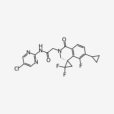 O=C(CN1C[C@@]2(CC2(F)F)c2c(ccc(C3CC3)c2F)C1=O)Nc1ncc(Cl)cn1